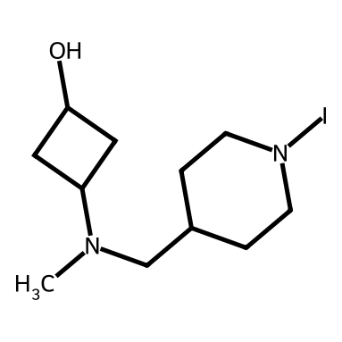 CN(CC1CCN(I)CC1)C1CC(O)C1